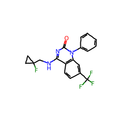 O=c1nc(NCC2(F)CC2)c2ccc(C(F)(F)F)cc2n1-c1ccccc1